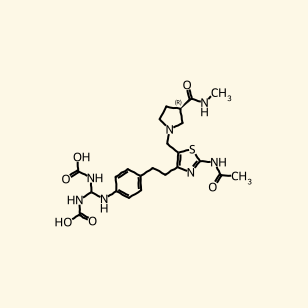 CNC(=O)[C@@H]1CCN(Cc2sc(NC(C)=O)nc2CCc2ccc(NC(NC(=O)O)NC(=O)O)cc2)C1